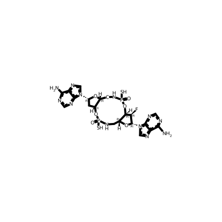 Nc1ncnc2c1ncn2[C@@H]1O[C@@H]2CNP(=O)(S)O[C@H]3C[C@H](n4cnc5c(N)ncnc54)O[C@@H]3CNP(=O)(S)O[C@H]2[C@H]1F